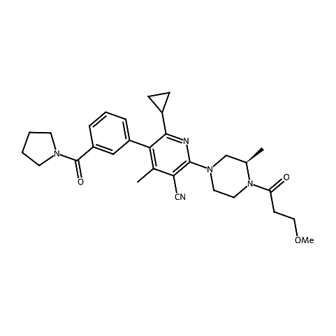 COCCC(=O)N1CCN(c2nc(C3CC3)c(-c3cccc(C(=O)N4CCCC4)c3)c(C)c2C#N)C[C@H]1C